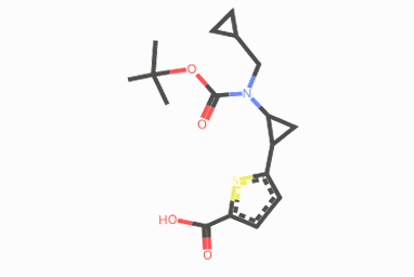 CC(C)(C)OC(=O)N(CC1CC1)C1CC1c1ccc(C(=O)O)s1